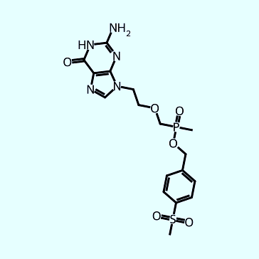 CP(=O)(COCCn1cnc2c(=O)[nH]c(N)nc21)OCc1ccc(S(C)(=O)=O)cc1